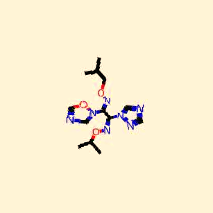 CC(C)CON=C(C(=NOC(C)C)n1cncn1)N1CN=CO1